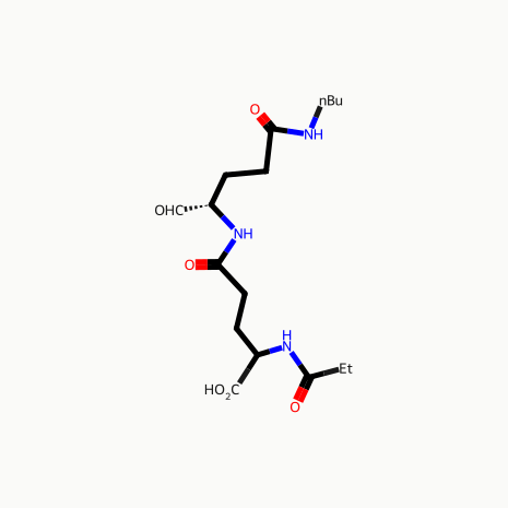 CCCCNC(=O)CC[C@@H](C=O)NC(=O)CCC(NC(=O)CC)C(=O)O